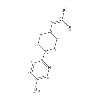 FC(F)(F)c1ccc(N2CCC(C=C(Br)Br)CC2)nc1